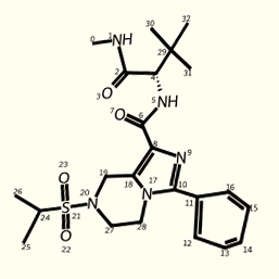 CNC(=O)[C@@H](NC(=O)c1nc(-c2ccccc2)n2c1CN(S(=O)(=O)C(C)C)CC2)C(C)(C)C